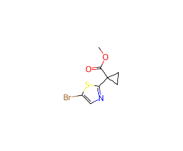 COC(=O)C1(c2ncc(Br)s2)CC1